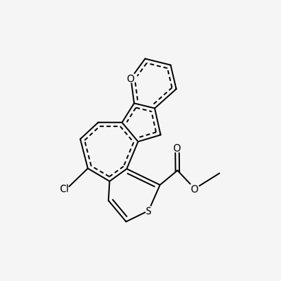 COC(=O)C1=c2c(c(Cl)ccc3c2cc2cccoc23)C=CS1